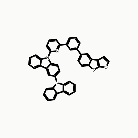 c1cc(-c2ccc3sc4occc4c3c2)cc(-c2cccc(-n3c4ccccc4c4cc(-n5c6ccccc6c6ccccc65)ccc43)n2)c1